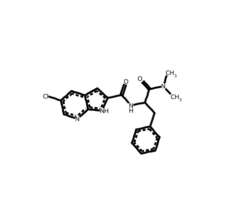 CN(C)C(=O)C(Cc1ccccc1)NC(=O)c1cc2cc(Cl)cnc2[nH]1